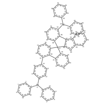 c1ccc(N(c2ccccc2)c2ccc(-c3cccc4c3-c3ccccc3C43c4cccc(N(c5ccccc5)c5ccccc5)c4-c4c3oc3ccccc43)cc2)cc1